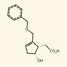 O=C(O)C[C@H]1C(COCc2ccccc2)=CC[C@H]1O